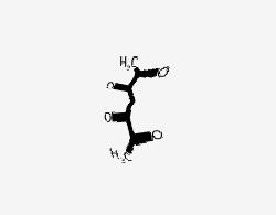 CC(=O)C(=O)CC(=O)C(C)=O